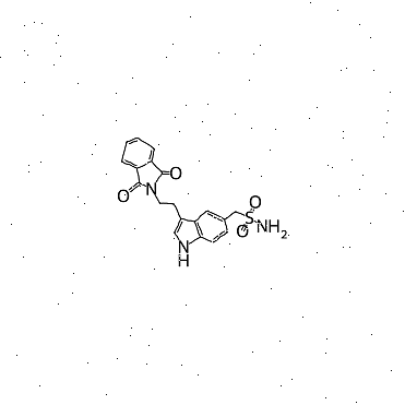 NS(=O)(=O)Cc1ccc2[nH]cc(CCN3C(=O)c4ccccc4C3=O)c2c1